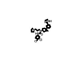 O=C(Nc1ccc(Cl)c(Cl)c1)N(CCCN1CCCC1)[C@@H]1CC[C@]2(c3cccc(-c4ncc[nH]4)c3)CC2C1